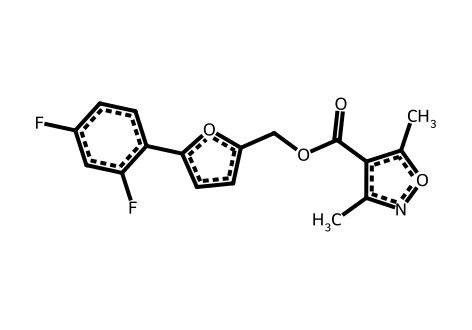 Cc1noc(C)c1C(=O)OCc1ccc(-c2ccc(F)cc2F)o1